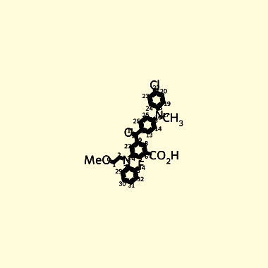 COCCN(c1cc(C(=O)O)cc(C(=O)c2ccc(N(C)c3ccc(Cl)cc3)cc2)c1)c1ccccc1F